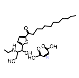 CCCCCCCCCCCC(=O)c1ccc(C(O)C(CO)NCC)s1.O=C(O)/C=C\C(=O)O